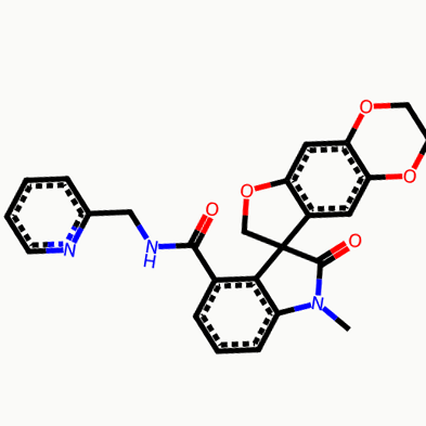 CN1C(=O)C2(COc3cc4c(cc32)OCCO4)c2c(C(=O)NCc3ccccn3)cccc21